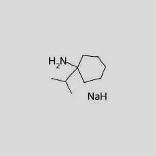 CC(C)C1(N)CCCCC1.[NaH]